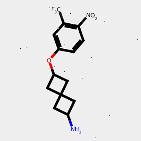 NC1CC2(C1)CC(Oc1ccc([N+](=O)[O-])c(C(F)(F)F)c1)C2